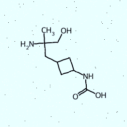 CC(N)(CO)CC1CC(NC(=O)O)C1